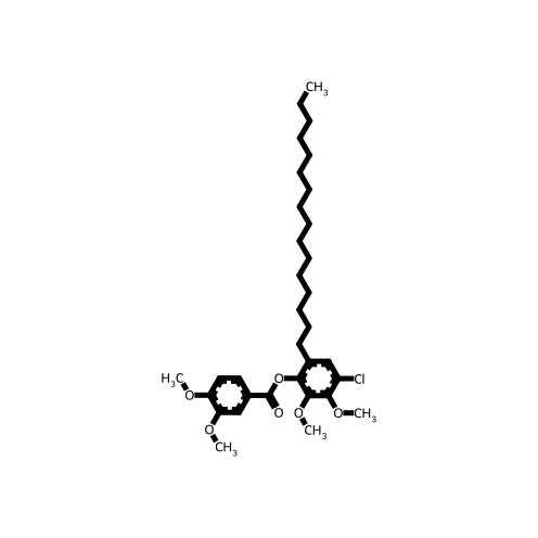 CCCCCCCCCCCCCCCCc1cc(Cl)c(OC)c(OC)c1OC(=O)c1ccc(OC)c(OC)c1